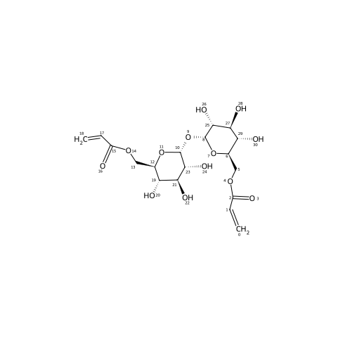 C=CC(=O)OC[C@H]1O[C@H](O[C@H]2O[C@H](COC(=O)C=C)[C@@H](O)[C@H](O)[C@H]2O)[C@H](O)[C@@H](O)[C@@H]1O